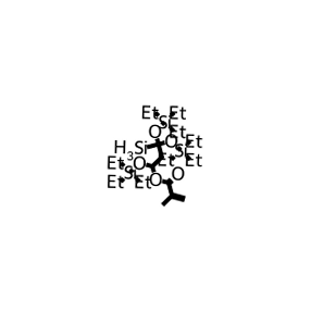 C=C(C)C(=O)OC(CC([SiH3])(O[Si](CC)(CC)CC)O[Si](CC)(CC)CC)O[Si](CC)(CC)CC